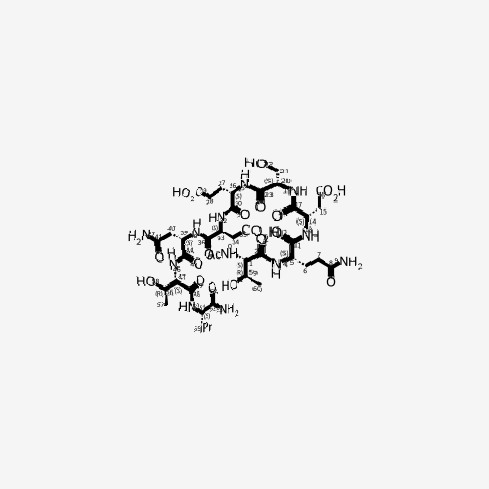 CC(=O)N[C@H](C(=O)N[C@@H](CCC(N)=O)C(=O)N[C@@H](CC(=O)O)C(=O)N[C@@H](CO)C(=O)N[C@@H](CCC(=O)O)C(=O)N[C@@H](CC(=O)O)C(=O)N[C@@H](CC(N)=O)C(=O)N[C@H](C(=O)N[C@H](C(N)=O)C(C)C)[C@@H](C)O)[C@@H](C)O